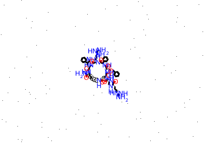 N=C(N)NCCC[C@@H]1NC[C@H](C(=O)N[C@H]2CC(=O)NCCCC[C@@H](C(N)=O)NC(=O)[C@H](Cc3c[nH]c4ccccc34)NC(=O)[C@H](CCCNC(=N)N)NC(=O)C(c3ccccc3)NC(=O)[C@H](COCc3ccccc3)NC2=O)NC1=O